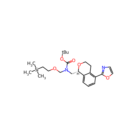 CC(C)(C)OC(=O)N(COCC[Si](C)(C)C)C[C@@H]1OCCc2c(-c3ncco3)cccc21